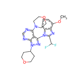 COc1cccc2c1nc(C(F)F)n2-c1nn(C2CCOCC2)c2ncnc(N3CCOCC3)c12